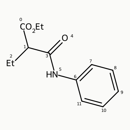 CCOC(=O)C(CC)C(=O)Nc1ccccc1